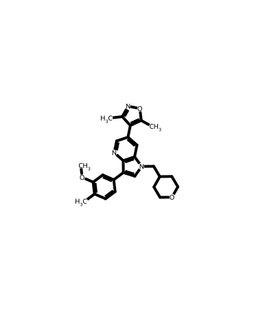 COc1cc(-c2cn(CC3CCOCC3)c3cc(-c4c(C)noc4C)cnc23)ccc1C